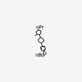 CCCCOc1ccc(C2CCC(C3CCC(CCC)CC3C)CC2)cc1